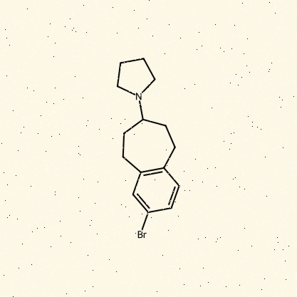 Brc1ccc2c(c1)CCC(N1CCCC1)CC2